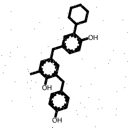 Cc1cc(Cc2ccc(O)c(C3CCCCC3)c2)cc(Cc2ccc(O)cc2)c1O